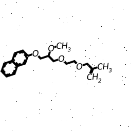 C=C(C)COCCOCC(COc1ccc2ccccc2c1)OC